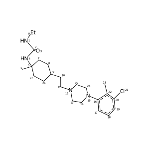 CCNC(=O)NC1(C)CCC(CCN2CCN(c3cccc(Cl)c3C)CC2)CC1